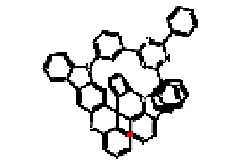 c1ccc(-c2nc(-c3ccccc3)nc(-c3cccc(-n4c5ccccc5c5cc6c(cc54)C4(c5ccccc5S6)c5ccccc5-n5c6ccccc6c6cccc4c65)c3)n2)cc1